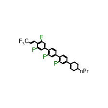 CCCC1CC=C(c2ccc(-c3ccc(-c4cc(F)c(/C=C/C(F)(F)F)c(F)c4)c(F)c3)c(F)c2)CC1